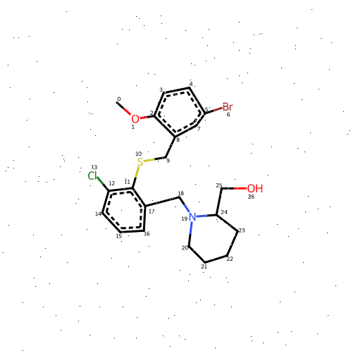 COc1ccc(Br)cc1CSc1c(Cl)cccc1CN1CCCCC1CO